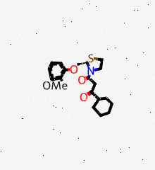 COc1ccccc1OC[C@H]1SCCN1C(=O)CC(=O)C1CCCCC1